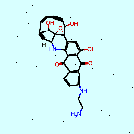 C[C@@H](O)[C@@]12O[C@]13c1cc(O)c4c(c1N[C@H]2C#C/C=C\C#C[C@H]3O)C(=O)c1ccc(NCCN)cc1C4=O